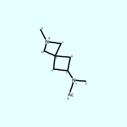 CC(=O)N(C)C1CC2(C1)CN(C)C2